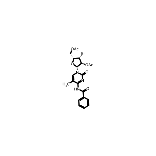 CC(=O)OC[C@H]1O[C@@H](n2cc(C)c(NC(=O)c3ccccc3)nc2=O)[C@H](OC(C)=O)[C@H]1Br